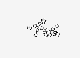 Cc1ccc2c(c1)C(c1ccc(-c3ccccc3)cc1)(c1ccc(-c3ccc(N4c5ccccc5C(C)(C)c5cc(-c6ccccc6)ccc54)c4c3oc3ccccc34)cc1)c1cc(OC(F)(F)F)ccc1-2